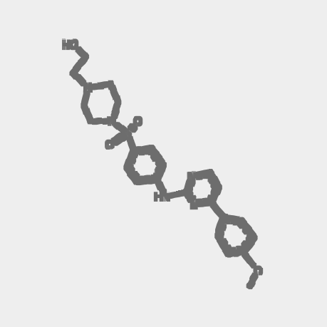 COc1ccc(-c2ccnc(Nc3ccc(S(=O)(=O)N4CCN(CCO)CC4)cc3)n2)cc1